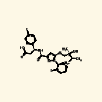 CC(C)[C@](C)(O)COc1cc(C(=O)NC(CC(=O)O)c2ccc(F)cc2)nn1-c1ccccc1F